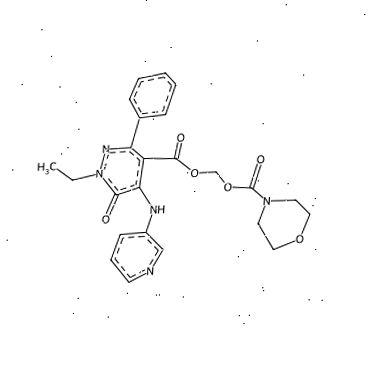 CCn1nc(-c2ccccc2)c(C(=O)OCOC(=O)N2CCOCC2)c(Nc2cccnc2)c1=O